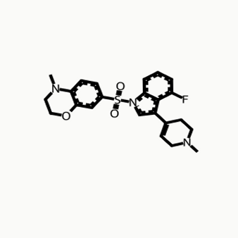 CN1CC=C(c2cn(S(=O)(=O)c3ccc4c(c3)OCCN4C)c3cccc(F)c23)CC1